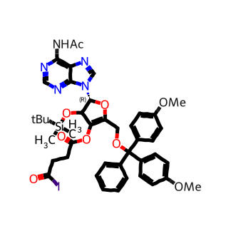 COc1ccc(C(OCC2=C(OC(=O)CCC(=O)I)C(O[Si](C)(C)C(C)(C)C)[C@H](n3cnc4c(NC(C)=O)ncnc43)O2)(c2ccccc2)c2ccc(OC)cc2)cc1